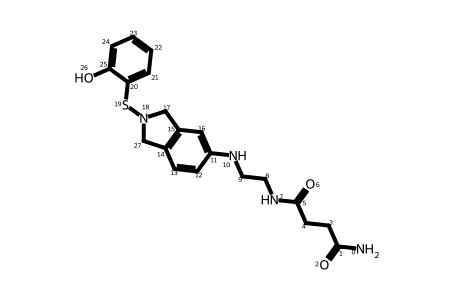 NC(=O)CCC(=O)NCCNc1ccc2c(c1)CN(Sc1ccccc1O)C2